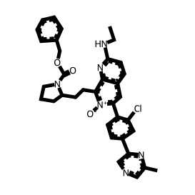 CCNc1ccc2cc(-c3ccc(-c4cncc(C)n4)cc3Cl)[n+]([O-])c(CCC3CCCN3C(=O)OCc3ccccc3)c2n1